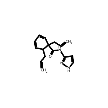 C=CCC1C=CC=CC1(CC=C)C(=O)Nc1cc[nH]n1